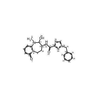 CN1c2cccc(=O)n2CC[C@H](NC(=O)c2ncn(Cc3ccccc3)n2)C1O